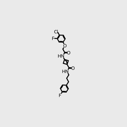 O=C(COc1ccc(Cl)c(F)c1)NC12CC(C(=O)NCCCc3ccc(F)cc3)(C1)C2